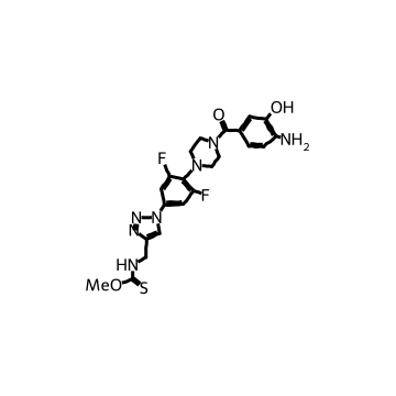 COC(=S)NCc1cn(-c2cc(F)c(N3CCN(C(=O)c4ccc(N)c(O)c4)CC3)c(F)c2)nn1